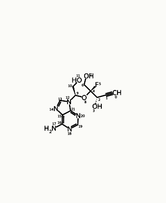 C#C[C@H](O)[C@@](F)(CO)O[C@H](CO)n1cnc2c(N)ncnc21